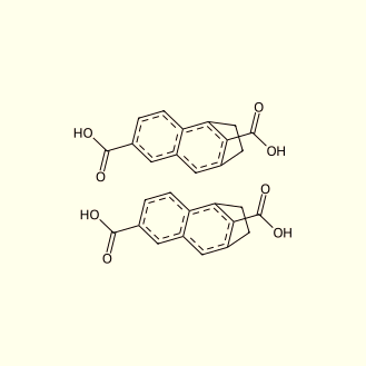 O=C(O)c1ccc2c3c(C(=O)O)c(cc2c1)CC3.O=C(O)c1ccc2c3c(C(=O)O)c(cc2c1)CC3